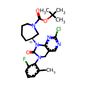 Cc1cccc(F)c1N1Cc2cnc(Cl)nc2N([C@H]2CCCCN(C(=O)OC(C)(C)C)C2)C1=O